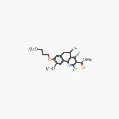 COCCCOc1cc2c(cc1OC)-c1nc(Cl)c(C(=O)OC)c(Cl)c1C(C(C)C)C2